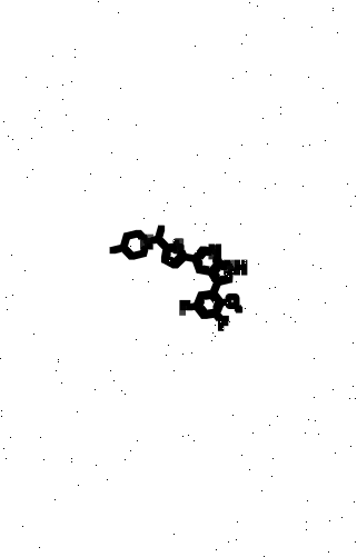 COc1c(F)cc(F)cc1-c1c[nH]c2ncc(-c3ccc(C(C)N4CCC(C)CC4)s3)cc12